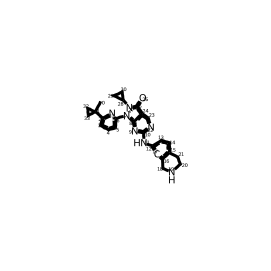 CC1(c2cccc(-n3c4nc(Nc5ccc6c(c5)CNCC6)ncc4c(=O)n3C3CC3)n2)CC1